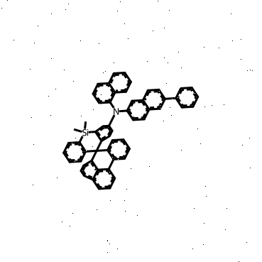 C[Si]1(C)c2ccccc2C2(c3ccccc3-c3cccc4cccc2c34)c2ccc(N(c3ccc4cc(-c5ccccc5)ccc4c3)c3cccc4ccccc34)cc21